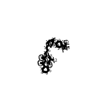 O=C(c1ccccc1)n1c(=O)c(I)cn(CCCN2CC3C[C@]3(c3ccc(C(F)(F)F)cc3)C2)c1=O